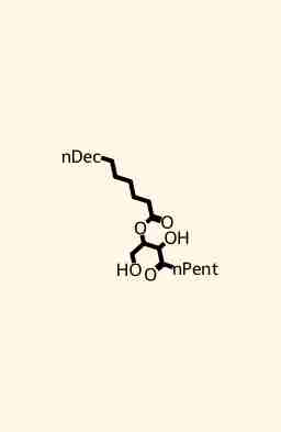 CCCCCCCCCCCCCCCC(=O)OC(CO)C(O)C(=O)CCCCC